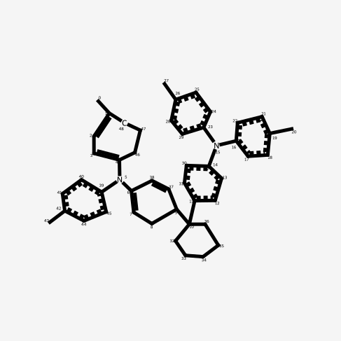 CC1=CC=C(N(C2=CCC(C3(c4ccc(N(c5ccc(C)cc5)c5ccc(C)cc5)cc4)CCCCC3)C=C2)c2ccc(C)cc2)CCC1